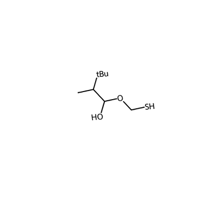 CC(C(O)OCS)C(C)(C)C